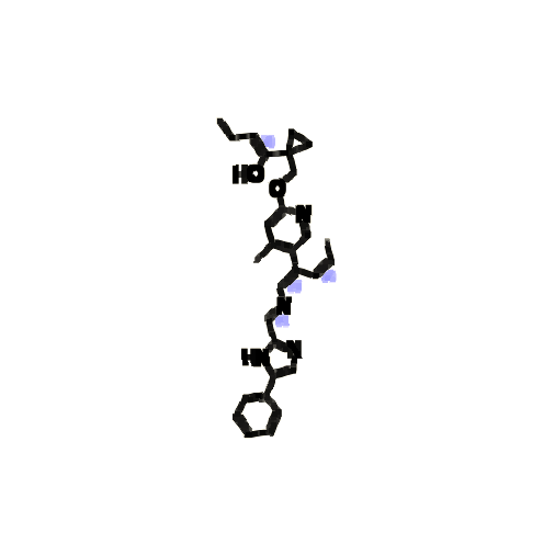 C\C=C/C(=C\N=C\c1ncc(-c2ccccc2)[nH]1)c1cnc(OCC2(/C(O)=C/CC)CC2)cc1C